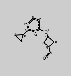 O=CN1CC(Oc2ccnc(C3CC3)n2)C1